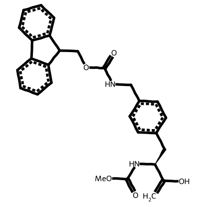 C=C(O)[C@H](Cc1ccc(CNC(=O)OCC2c3ccccc3-c3ccccc32)cc1)NC(=O)OC